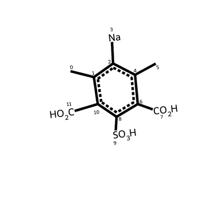 Cc1[c]([Na])c(C)c(C(=O)O)c(S(=O)(=O)O)c1C(=O)O